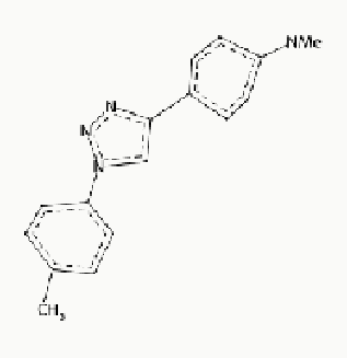 CNc1ccc(-c2cn(-c3ccc(C)cc3)nn2)cc1